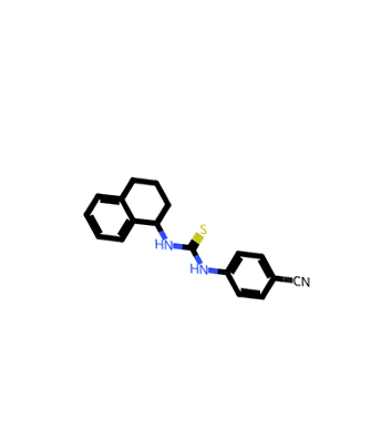 N#Cc1ccc(NC(=S)NC2CCCc3ccccc32)cc1